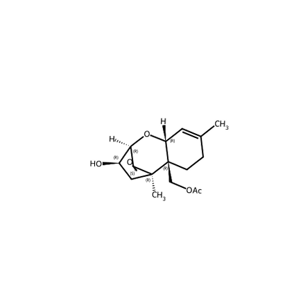 CC(=O)OC[C@]12CCC(C)=C[C@H]1O[C@@H]1[C@H](O)C[C@@]2(C)[C@]12CO2